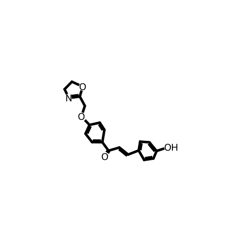 O=C(/C=C/c1ccc(O)cc1)c1ccc(OCC2=NCCO2)cc1